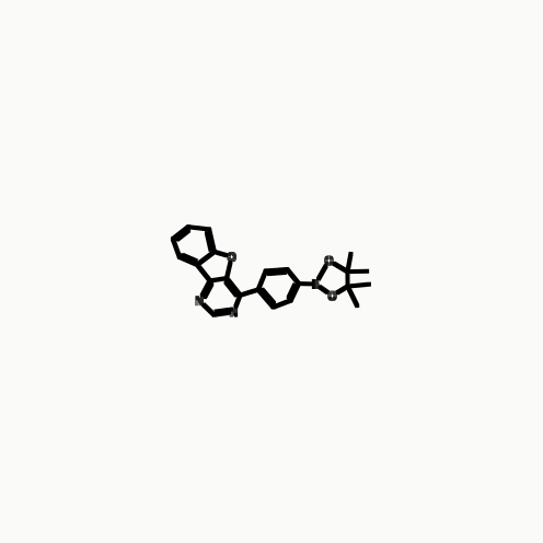 CC1(C)OB(c2ccc(-c3ncnc4c3oc3ccccc34)cc2)OC1(C)C